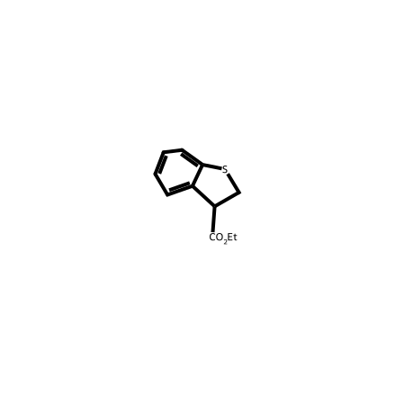 CCOC(=O)C1CSc2ccccc21